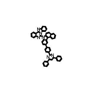 c1ccc(-c2cc(-c3ccccc3)nc(-c3ccc(-c4ccc5c(c4)c4c6ccccc6ccc4n5-c4nc5ccccc5c5nc6ccccc6n45)cc3)n2)cc1